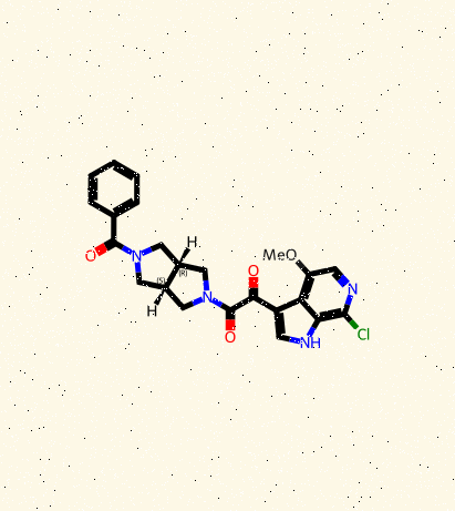 COc1cnc(Cl)c2[nH]cc(C(=O)C(=O)N3C[C@@H]4CN(C(=O)c5ccccc5)C[C@@H]4C3)c12